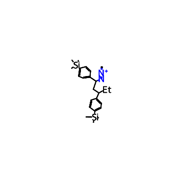 C=[N+]=NC(CC(CC)c1ccc([Si](C)(C)C)cc1)c1ccc([Si](C)(C)C)cc1